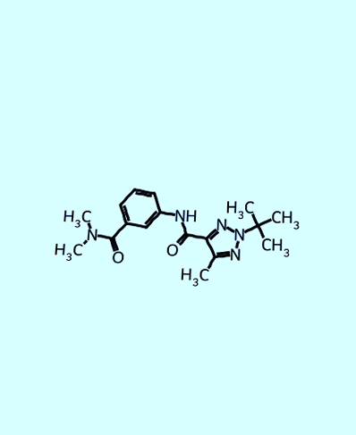 Cc1nn(C(C)(C)C)nc1C(=O)Nc1cccc(C(=O)N(C)C)c1